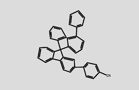 N#Cc1ccc(-c2ccc3c(c2)C(c2ccccc2)(c2cccc(-c4ccccc4)c2)c2ccccc2-3)cc1